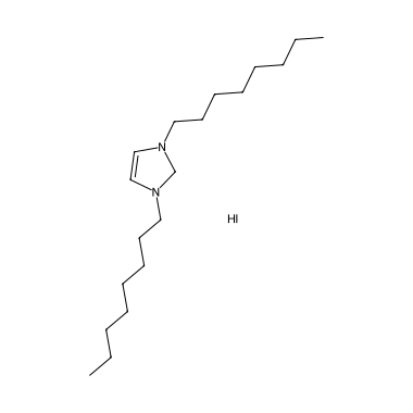 CCCCCCCCN1C=CN(CCCCCCCC)C1.I